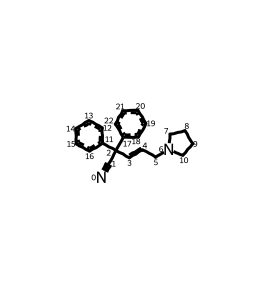 N#CC(C=CCN1CCCC1)(c1ccccc1)c1ccccc1